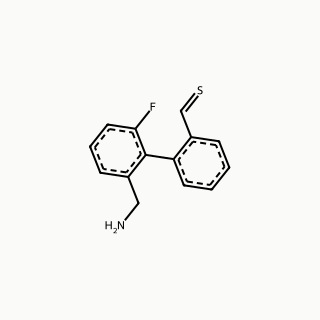 NCc1cccc(F)c1-c1ccccc1C=S